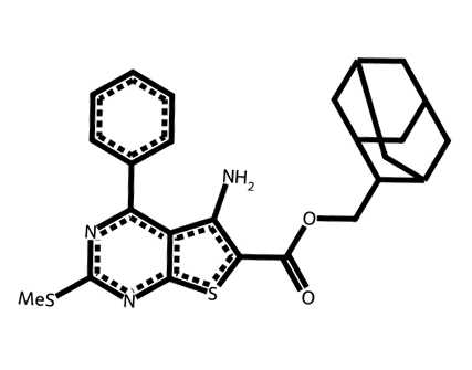 CSc1nc(-c2ccccc2)c2c(N)c(C(=O)OCC3C4CC5CC(C4)CC3C5)sc2n1